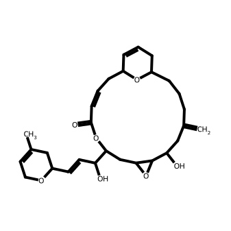 C=C1CCCC2CC=CC(C/C=C\C(=O)OC(C(O)/C=C/C3CC(C)=CCO3)CC3OC3C(O)C1)O2